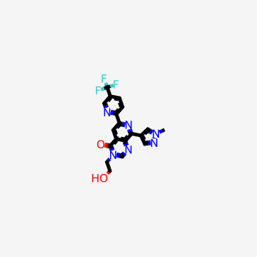 Cn1cc(-c2nc(-c3ccc(C(F)(F)F)cn3)cc3c(=O)n(CCO)cnc23)cn1